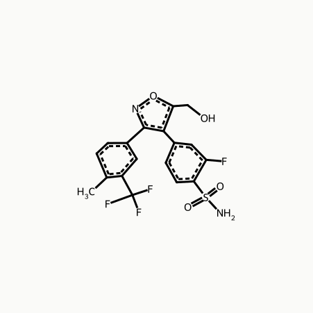 Cc1ccc(-c2noc(CO)c2-c2ccc(S(N)(=O)=O)c(F)c2)cc1C(F)(F)F